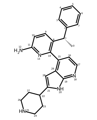 C[C@@H](c1ccccc1)c1ccc(N)nc1-c1ccnc2[nH]c(C3CCNCC3)cc12